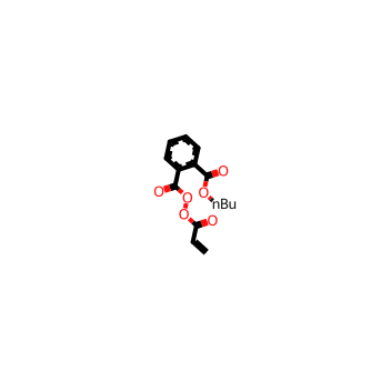 C=CC(=O)OOC(=O)c1ccccc1C(=O)OCCCC